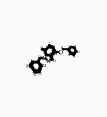 Cc1ccc(OCc2ccccc2)c2cnn(Cc3ccccc3)c12